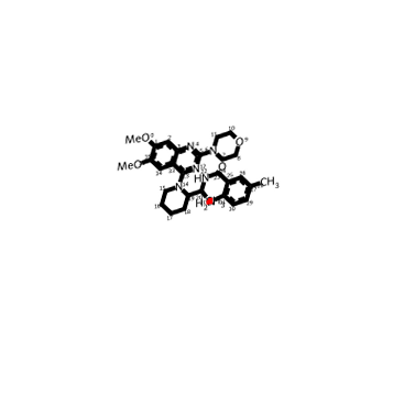 COc1cc2nc(N3CCOCC3)nc(N3CCCCC3C(C)NC(=O)c3cc(C)ccc3N)c2cc1OC